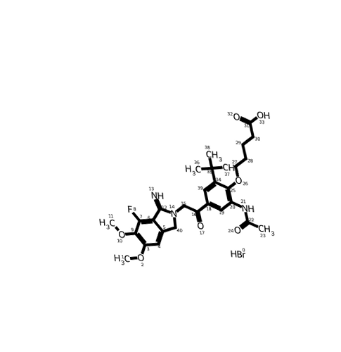 Br.COc1cc2c(c(F)c1OC)C(=N)N(CC(=O)c1cc(NC(C)=O)c(OCCCCC(=O)O)c(C(C)(C)C)c1)C2